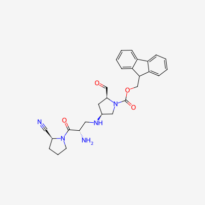 N#C[C@@H]1CCCN1C(=O)[C@@H](N)CN[C@H]1C[C@@H](C=O)N(C(=O)OCC2c3ccccc3-c3ccccc32)C1